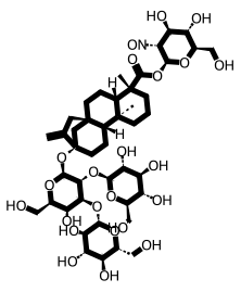 C=C1C[C@@]23CC[C@H]4[C@@](C)(CCC[C@@]4(C)C(=O)O[C@@H]4O[C@H](CO)[C@@H](O)[C@H](O)[C@H]4N=O)[C@@H]2CC[C@]1(O[C@@H]1O[C@H](CO)[C@@H](O)[C@H](O[C@@H]2O[C@H](CO)[C@@H](O)[C@H](O)[C@H]2O)[C@H]1O[C@@H]1O[C@H](CO)[C@@H](O)[C@H](O)[C@H]1O)C3